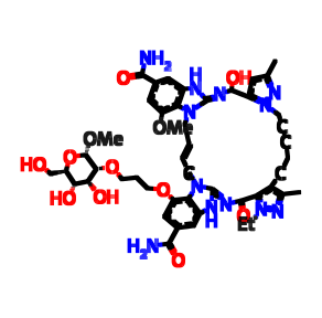 CCn1nc(C)c2c1C(=O)/N=C1\Nc3cc(C(N)=O)cc(OCCCO[C@H]4[C@@H](OC)O[C@H](CO)[C@@H](O)[C@@H]4O)c3N1C/C=C/CN1/C(=N\C(O)c3cc(C)nn3CCCCC2)Nc2cc(C(N)=O)cc(OC)c21